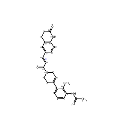 CC(=O)Nc1cccc(C2=CCN(C(=O)/C=C/c3cnc4c(c3)CCC(=O)N4)CC2)c1C